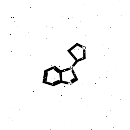 c1ccc2c(c1)ncn2C1CCOC1